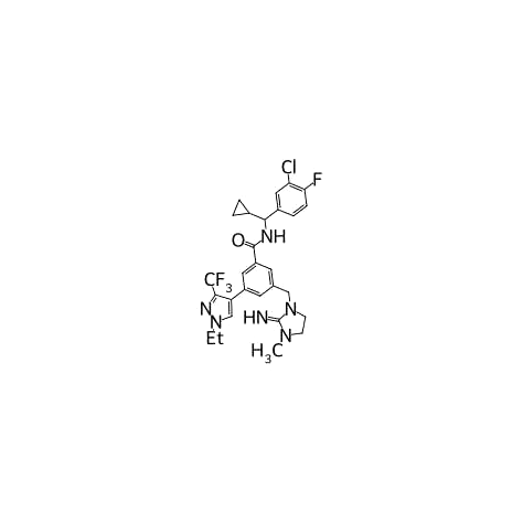 CCn1cc(-c2cc(CN3CCN(C)C3=N)cc(C(=O)NC(c3ccc(F)c(Cl)c3)C3CC3)c2)c(C(F)(F)F)n1